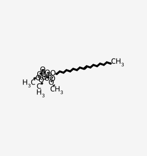 CCCCCCCCC=CCCCCCCCCOP(=O)(OOCC)OP(=O)(OOCC)OOCC